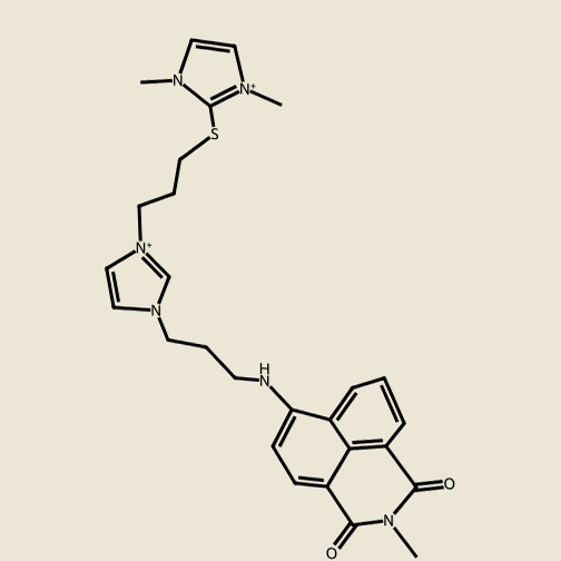 CN1C(=O)c2cccc3c(NCCCn4cc[n+](CCCSc5n(C)cc[n+]5C)c4)ccc(c23)C1=O